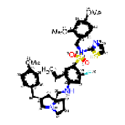 C=Cc1cc(S(=O)(=O)N(Cc2ccc(OC)cc2OC)c2nccs2)c(F)cc1NC[C@@]12CCCN1C[C@@H](Cc1ccc(OC)cc1)C2